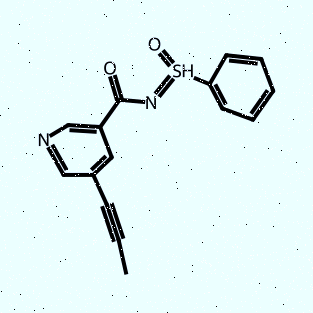 CC#Cc1cncc(C(=O)N=[SH](=O)c2ccccc2)c1